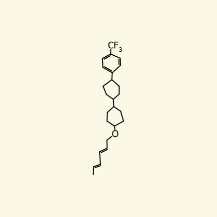 CC=CC=CCOC1CCC(C2CCC(c3ccc(C(F)(F)F)cc3)CC2)CC1